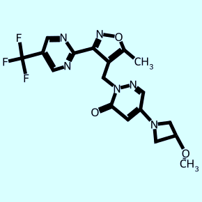 COC1CN(c2cnn(Cc3c(-c4ncc(C(F)(F)F)cn4)noc3C)c(=O)c2)C1